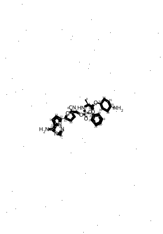 C[C@H](NP(=O)(OC[C@]1(C#N)CC[C@H](c2ccc3c(N)ncnn23)O1)Oc1ccccc1)C(=O)O[C@H]1CC[C@H](N)CC1